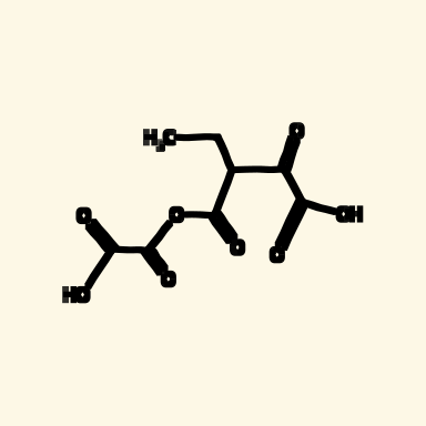 CCC(C(=O)OC(=O)C(=O)O)C(=O)C(=O)O